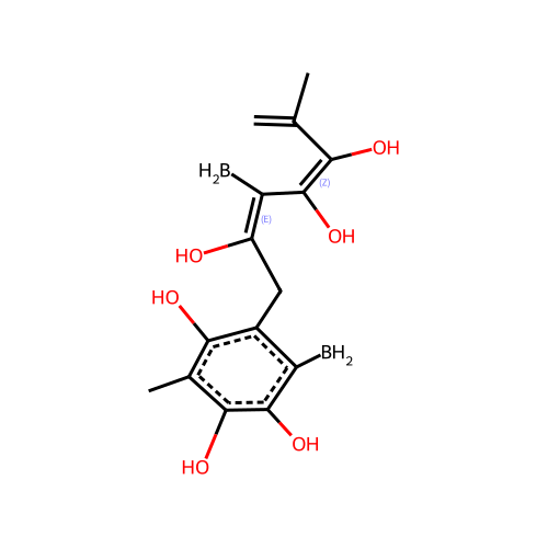 BC(/C(O)=C(/O)C(=C)C)=C(\O)Cc1c(B)c(O)c(O)c(C)c1O